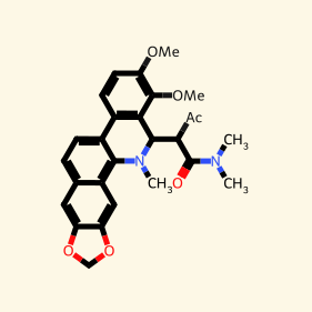 COc1ccc2c(c1OC)C(C(C(C)=O)C(=O)N(C)C)N(C)c1c-2ccc2cc3c(cc12)OCO3